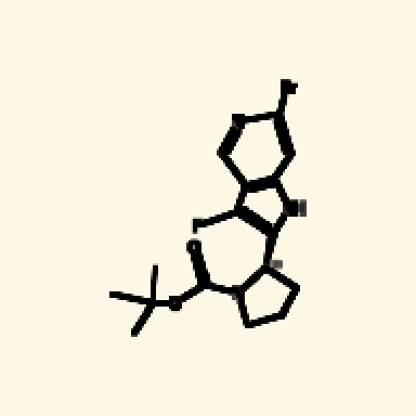 CC(C)(C)OC(=O)N1CCC[C@@H]1c1[nH]c2cc(Br)ncc2c1F